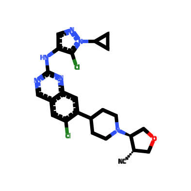 N#C[C@H]1COC[C@@H]1N1CCC(c2cc3nc(Nc4cnn(C5CC5)c4Cl)ncc3cc2Cl)CC1